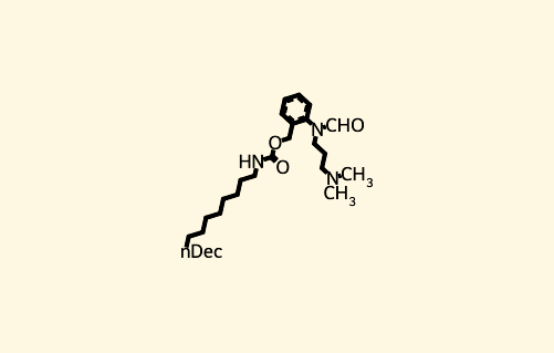 CCCCCCCCCCCCCCCCCCNC(=O)OCc1ccccc1N(C=O)CCCN(C)C